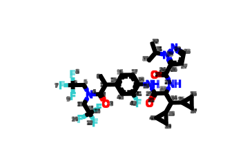 CC(C(=O)N(CC(F)(F)F)CC(F)(F)F)c1ccc(NC(=O)C(NC(=O)c2ccnn2C(C)C)C(C2CC2)C2CC2)c(F)c1